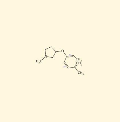 C=C(C)/C=C\C(=C/C)OC1CCN(C)C1